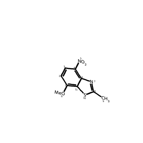 COc1ccc([N+](=O)[O-])c2nc(C)sc12